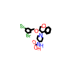 O=C(O)NC1CCN([C@@H]2c3ccccc3OC[C@H]2OCc2cc(Br)cc(Br)c2)CC1